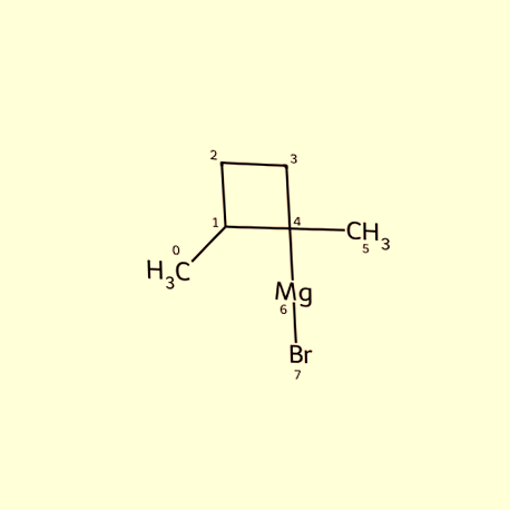 CC1CC[C]1(C)[Mg][Br]